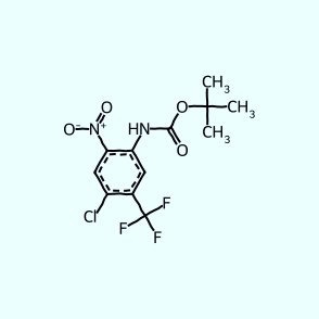 CC(C)(C)OC(=O)Nc1cc(C(F)(F)F)c(Cl)cc1[N+](=O)[O-]